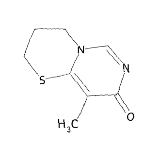 Cc1c2n(cnc1=O)CCCS2